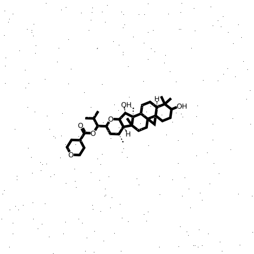 CC(C)C(OC(=O)C1CCOCC1)C1C[C@@H](C)[C@H]2C(O1)[C@H](O)[C@@]1(C)C3CC[C@H]4C(C)(C)C(O)CCC45CC35CCC21C